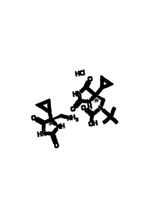 CC(C)(C)N(C[C@@]1(C2CC2)NC(=O)NC1=O)C(=O)O.Cl.NC[C@@]1(C2CC2)NC(=O)NC1=O